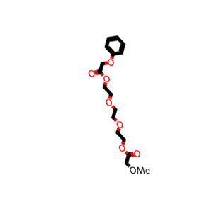 COCC(=O)OCCOCCOCCOC(=O)COc1ccccc1